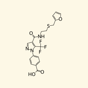 O=C(O)c1ccc(-n2ncc(C(=O)NCCSCc3ccco3)c2C(F)(F)F)cc1